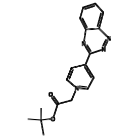 CC(C)(C)OC(=O)C[n+]1ccc(-c2nnc3ccccc3n2)cc1